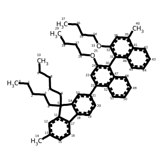 CCCCCC1(CCCCC)c2cc(C)ccc2-c2ccc(-c3cc(OCCCC)c(-c4c(OCCCC)cc(C)c5ccccc45)c4ccccc34)cc21